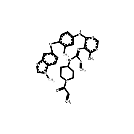 C=CC(=O)N1CCC(N/C(N=C)=N/c2c(C)ncnc2Nc2ccc(Oc3ccc4c(c3)ncn4C)c(C)c2)CC1